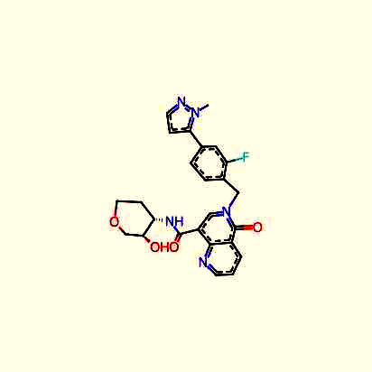 Cn1nccc1-c1ccc(Cn2cc(C(=O)N[C@H]3CCOC[C@@H]3O)c3ncccc3c2=O)c(F)c1